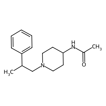 CC(=O)NC1CCN(CC(C)c2ccccc2)CC1